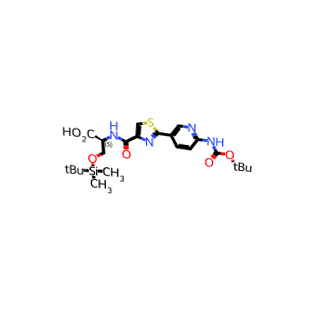 CC(C)(C)OC(=O)Nc1ccc(-c2nc(C(=O)N[C@@H](CO[Si](C)(C)C(C)(C)C)C(=O)O)cs2)cn1